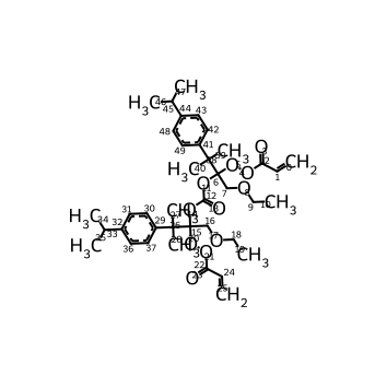 C=CC(=O)OOC(COCC)(OC(=O)OC(COCC)(OOC(=O)C=C)C(C)(C)c1ccc(C(C)C)cc1)C(C)(C)c1ccc(C(C)C)cc1